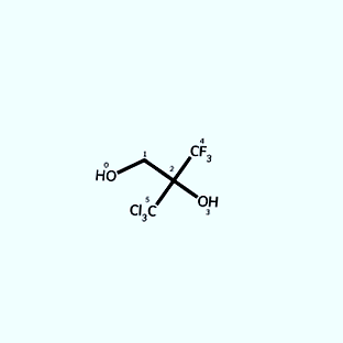 OCC(O)(C(F)(F)F)C(Cl)(Cl)Cl